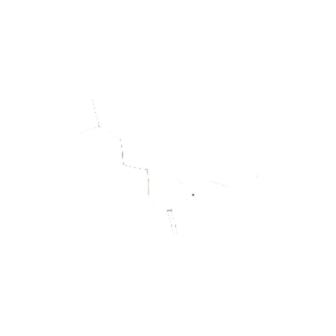 C=C(SCCCC(C)C)C(C)(C)COBr